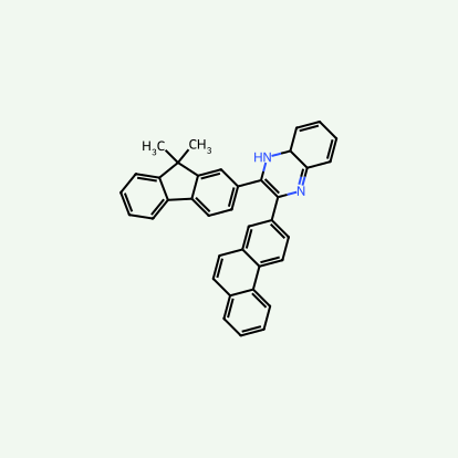 CC1(C)c2ccccc2-c2ccc(C3=C(c4ccc5c(ccc6ccccc65)c4)N=C4C=CC=CC4N3)cc21